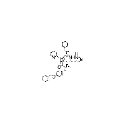 CN(C(=O)[C@H](Cc1cnc[nH]1)NC(=O)OCc1ccccc1)[C@@H](Cc1ccc(OCc2ccccc2)cc1)C(=O)NCCc1ccccn1